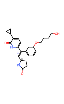 O=C1CC[C@H](/C=C(\c2cccc(OCCCCO)c2)c2ccc(C3CC3)c(=O)[nH]2)N1